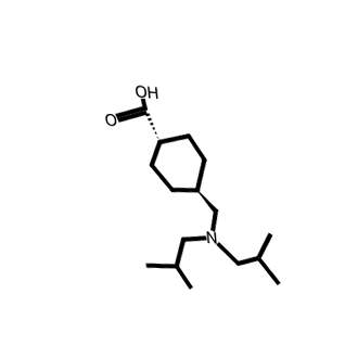 CC(C)CN(CC(C)C)C[C@H]1CC[C@H](C(=O)O)CC1